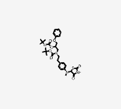 CN(c1ccc(CCN(CC(COc2ccccc2)OC(=O)OC(C)(C)C)C(=O)OC(C)(C)C)cc1)C1SC(=O)NC1=O